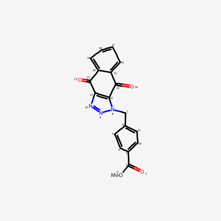 COC(=O)c1ccc(Cn2nnc3c2C(=O)c2ccccc2C3=O)cc1